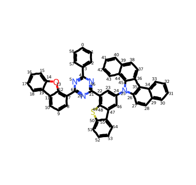 c1ccc(-c2nc(-c3cccc4c3oc3ccccc34)nc(-c3cc(-n4c5ccc6ccccc6c5c5ccc6ccccc6c54)cc4c3sc3ccccc34)n2)cc1